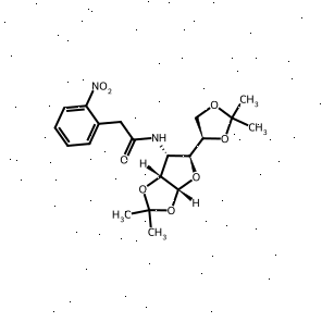 CC1(C)O[C@H]2O[C@H]([C@H]3COC(C)(C)O3)[C@@H](NC(=O)Cc3ccccc3[N+](=O)[O-])[C@H]2O1